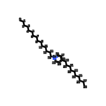 CCCCCCCCCCCCCCC[n+]1ccc(CCCCCCCCCC)cc1